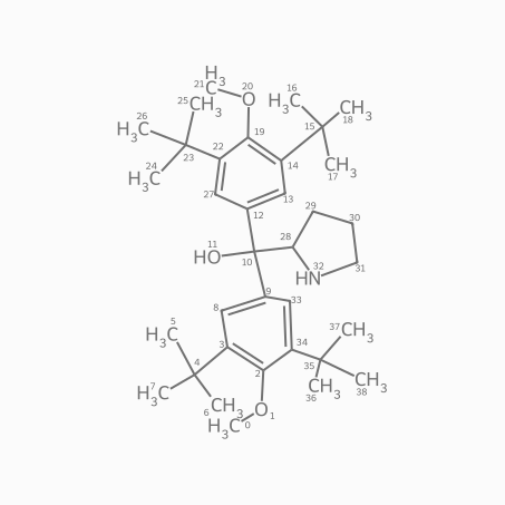 COc1c(C(C)(C)C)cc(C(O)(c2cc(C(C)(C)C)c(OC)c(C(C)(C)C)c2)C2CCCN2)cc1C(C)(C)C